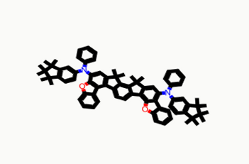 CC1(C)c2cc(N(c3ccccc3)c3ccc4c(c3)C(C)(C)C(C)(C)C4(C)C)c3c(oc4ccccc43)c2-c2ccc3c(c21)C(C)(C)c1cc(N(c2ccccc2)c2ccc4c(c2)C(C)(C)C(C)(C)C4(C)C)c2oc4ccccc4c2c1-3